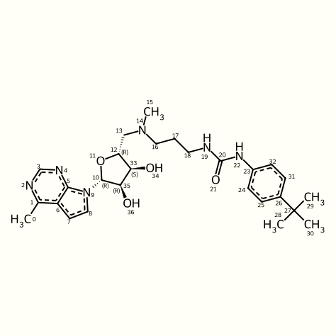 Cc1ncnc2c1ccn2[C@@H]1O[C@H](CN(C)CCCNC(=O)Nc2ccc(C(C)(C)C)cc2)[C@@H](O)[C@H]1O